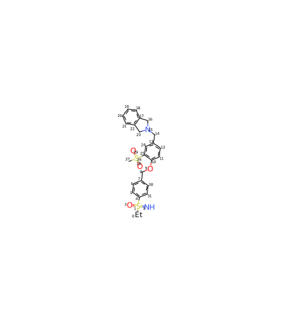 CCS(=N)(=O)c1ccc(COc2ccc(CN3Cc4ccccc4C3)cc2S(C)(=O)=O)cc1